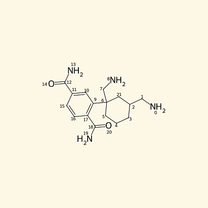 NCC1CCCC(CN)(c2cc(C(N)=O)ccc2C(N)=O)C1